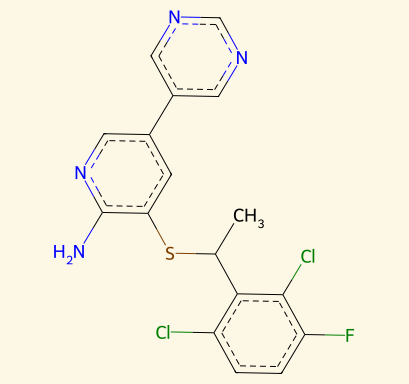 CC(Sc1cc(-c2cncnc2)cnc1N)c1c(Cl)ccc(F)c1Cl